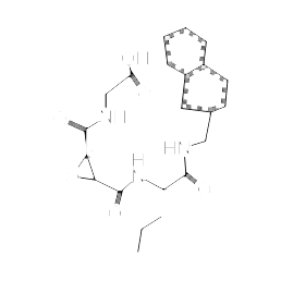 CCC[C@H](NC(=O)C1O[C@H]1C(=O)NCC(=O)O)C(=O)NCc1ccc2ccccc2c1